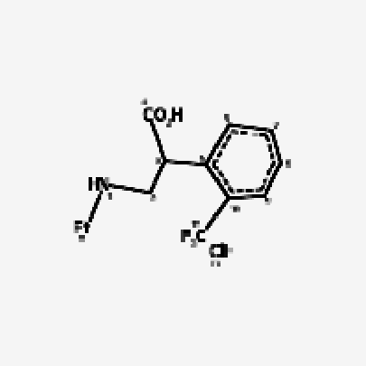 CCNCC(C(=O)O)c1ccccc1C(F)(F)F.Cl